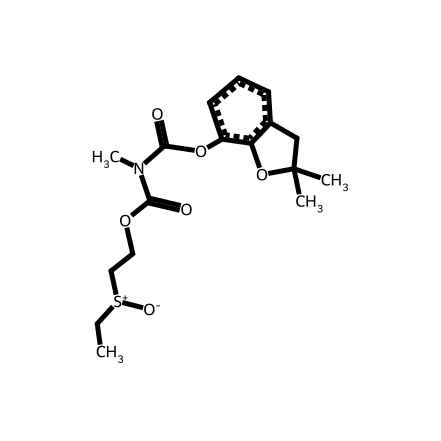 CC[S+]([O-])CCOC(=O)N(C)C(=O)Oc1cccc2c1OC(C)(C)C2